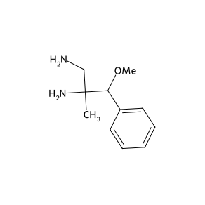 COC(c1ccccc1)C(C)(N)CN